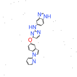 c1ccc(-n2ccc3cc(Oc4ccnc(Nc5ccc6[nH]cnc6c5)n4)ccc32)nc1